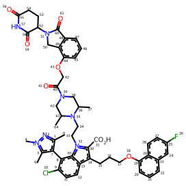 Cc1nn(C)c(C)c1-c1c(Cl)ccc2c(CCCOc3cccc4cc(F)ccc34)c(C(=O)O)n(CCN3C(C)CN(C(=O)COc4cccc5c4CN(C4CCC(=O)NC4=O)C5=O)CC3C)c12